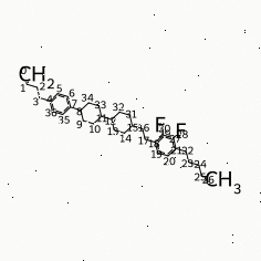 C=CCCc1ccc(C2CCC(C3CCC(CCc4ccc(CCCCC)c(F)c4F)CC3)CC2)cc1